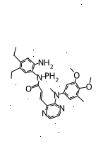 CCc1cc(N)c(N(P)C(=O)/C=C/c2nccnc2N(C)c2cc(C)c(OC)c(OC)c2)cc1CC